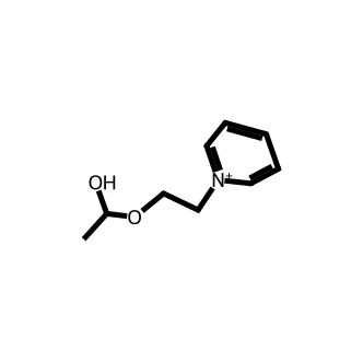 CC(O)OCC[n+]1ccccc1